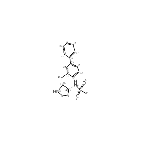 CS(=O)(=O)N[C@@H]1CCN[C@@H]1Cc1cccc(-c2ccccc2)c1